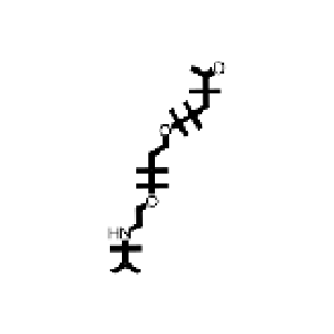 CC(=O)C(C)(C)CC(C)(C)C(C)(C)OCCC(C)(C)C(C)(C)OCCNC(C)(C)C(C)C